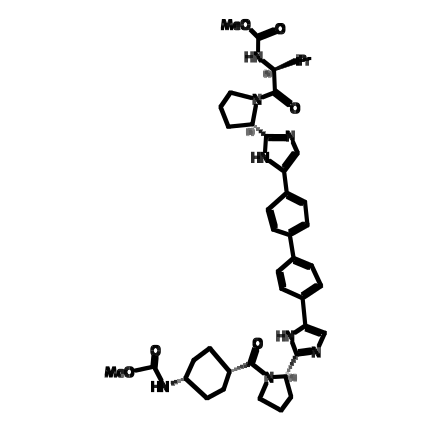 COC(=O)N[C@H](C(=O)N1CCC[C@H]1c1ncc(-c2ccc(-c3ccc(-c4cnc([C@@H]5CCCN5C(=O)[C@H]5CC[C@@H](NC(=O)OC)CC5)[nH]4)cc3)cc2)[nH]1)C(C)C